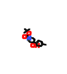 Cc1ccc(C2(O)CCN(C(=O)OC(C)(C)C)CC2)cc1